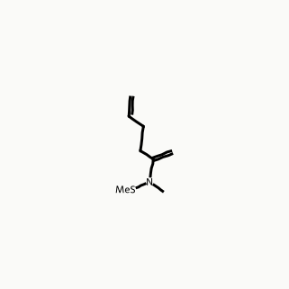 C=CCCC(=C)N(C)SC